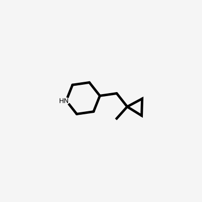 CC1(CC2CCNCC2)CC1